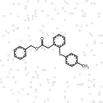 Cc1ccc(Sc2ccccc2CC(=O)OCc2ccccc2)cc1